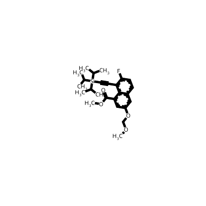 COCOc1cc(C(=O)OC)c2c(C#C[Si](C(C)C)(C(C)C)C(C)C)c(F)ccc2c1